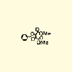 COC(=O)C1OC(c2ccccc2)OC1C(=O)OC